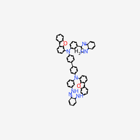 C=C(/N=C1/C=CC=CC1=N)c1cccc(N(c2ccc(-c3ccc(N(c4cccc(N/N=C5/C=CC=CC5=N)c4)c4cccc5c4oc4ccccc45)cc3)cc2)c2cccc3c2oc2ccccc23)c1